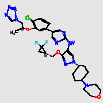 C[C@@H](Cn1cnnn1)Oc1cc(-c2cnc(Nc3cn([C@H]4CC[C@H](N5CCOCC5)CC4)nc3OC[C@@H]3CC3(F)F)nc2)ccc1Cl